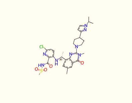 Cc1cc([C@@H](C)Nc2ccc(Cl)nc2C(=O)NS(C)(=O)=O)c2nc(N3CCC(c4ccn(C(C)C)n4)CC3)n(C)c(=O)c2c1